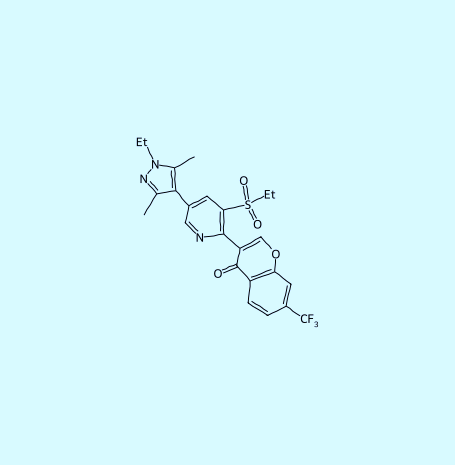 CCn1nc(C)c(-c2cnc(-c3coc4cc(C(F)(F)F)ccc4c3=O)c(S(=O)(=O)CC)c2)c1C